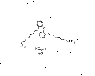 CCCCCCCCCc1ccccc1Oc1ccccc1CCCCCCCCC.O=[PH](O)O